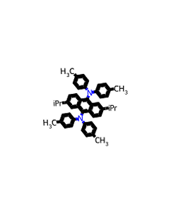 Cc1ccc(N(c2ccc(C)cc2)c2c3ccc(C(C)C)cc3c(N(c3ccc(C)cc3)c3ccc(C)cc3)c3ccc(C(C)C)cc23)cc1